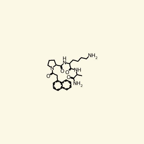 CC(NC(=O)C(CCCCN)NC(=O)C1CCCN1C(=O)Cc1cccc2ccccc12)C(N)=O